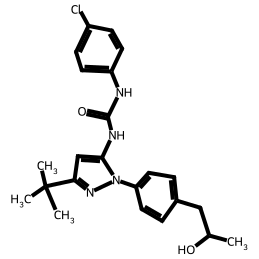 CC(O)Cc1ccc(-n2nc(C(C)(C)C)cc2NC(=O)Nc2ccc(Cl)cc2)cc1